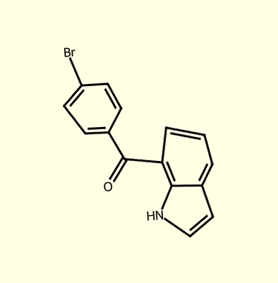 O=C(c1ccc(Br)cc1)c1cccc2cc[nH]c12